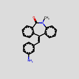 CN1C(=O)c2ccccc2C(=Cc2cccc(N)c2)c2ccccc21